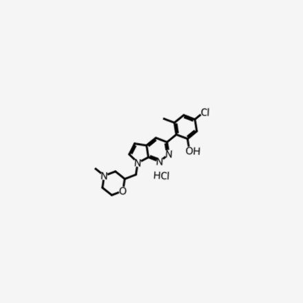 Cc1cc(Cl)cc(O)c1-c1cc2ccn(CC3CN(C)CCO3)c2nn1.Cl